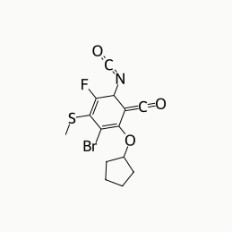 CSC1=C(F)C(N=C=O)C(=C=O)C(OC2CCCC2)=C1Br